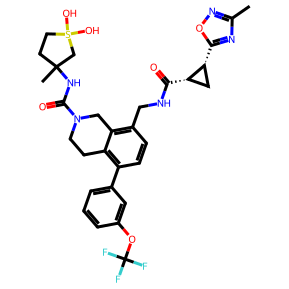 Cc1noc([C@@H]2C[C@@H]2C(=O)NCc2ccc(-c3cccc(OC(F)(F)F)c3)c3c2CN(C(=O)NC2(C)CCS(O)(O)C2)CC3)n1